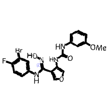 COc1cccc(NC(=O)Nc2cocc2/C(=N/O)Nc2ccc(F)c(Br)c2)c1